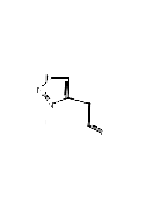 C=CCc1c[nH]nn1.S